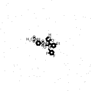 CCc1ccc2c(c1)c(-c1ccc[nH]c1=O)c(C(=O)NS(=O)(=O)c1cccc(NS(C)(=O)=O)c1)n2Cc1ccc(F)cc1F